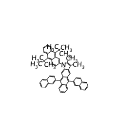 Cc1c(C)n(-c2ccc3c(C(C)(C)C)c4ccccc4c(C(C)(C)C)c3c2)c2cc3c(-c4ccc5ccccc5c4)c4ccccc4c(-c4ccc5ccccc5c4)c3cc12